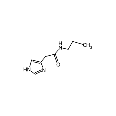 CCCNC(=O)Cc1c[nH]cn1